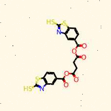 O=C(CCC(=O)OC(=O)c1ccc2sc(S)nc2c1)OC(=O)c1ccc2sc(S)nc2c1